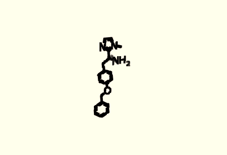 Cn1ccnc1[C@@H](N)Cc1ccc(OCc2ccccc2)cc1